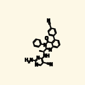 C[C@H](Nc1nc(N)ncc1C#N)c1nc2cccc(-c3ccc(C#N)cc3)c2c(=O)n1-c1ccccc1